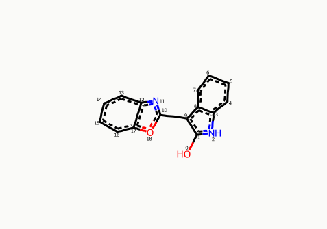 Oc1[nH]c2ccccc2c1-c1nc2ccccc2o1